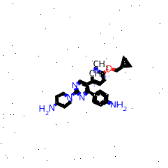 C=N/C(=C\C=C(/C)c1cnc(N2CCC(N)CC2)nc1-c1ccc(N)cc1)OCC1CC1